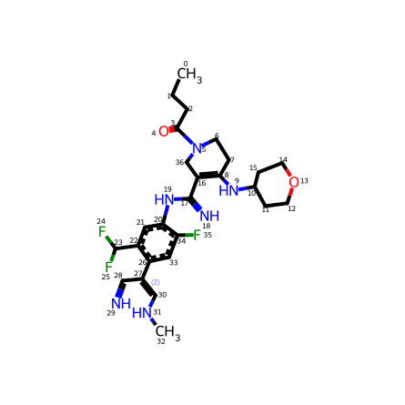 CCCC(=O)N1CCC(NC2CCOCC2)=C(C(=N)Nc2cc(C(F)F)c(/C(C=N)=C/NC)cc2F)C1